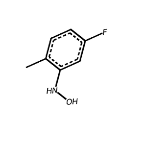 Cc1ccc(F)cc1NO